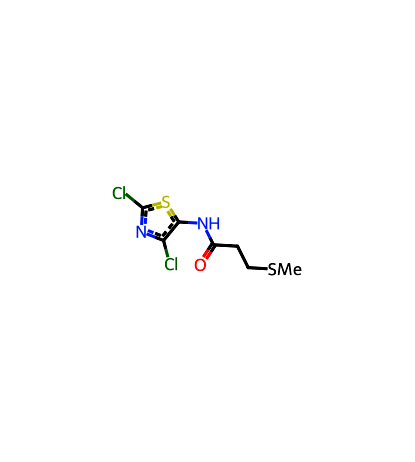 CSCCC(=O)Nc1sc(Cl)nc1Cl